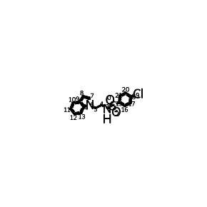 O=S(=O)(NCCn1ccc2ccccc21)c1ccc(Cl)cc1